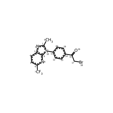 Cc1nc2ccc(C(F)(F)F)nc2n1-c1ccc(C(=O)CBr)cc1